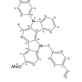 C=Cc1ccc(Cn2c3ccc(OC)cc3c3cc(C)c4c(c5ccccc5n4-c4ccccc4)c32)cc1